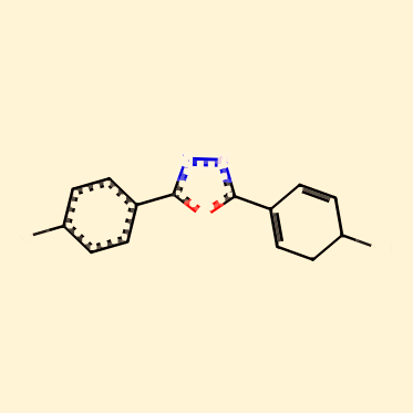 CC(C)(C)c1ccc(-c2nnc(C3=CCC(C=O)C=C3)o2)cc1